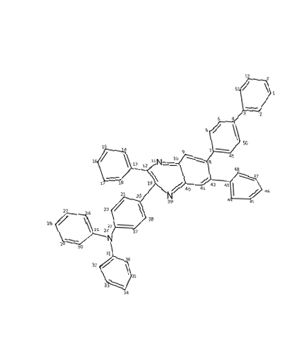 c1ccc(-c2ccc(-c3cc4nc(-c5ccccc5)c(-c5ccc(N(c6ccccc6)c6ccccc6)cc5)nc4cc3-c3ccccc3)cc2)cc1